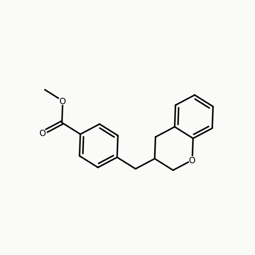 COC(=O)c1ccc(CC2COc3ccccc3C2)cc1